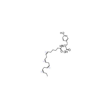 CC/C=C\C/C=C\C/C=C\C/C=C\CCCCC(=O)N[C@@H](Cc1ccc(O)cc1)C(=O)O